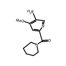 Bc1cnc(C(=O)N2CCCCC2)cc1OC